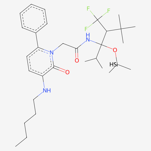 CCCCCNc1ccc(-c2ccccc2)n(CC(=O)NC(O[SiH](C)C)(C(C)C)C(C(C)(C)C)C(F)(F)F)c1=O